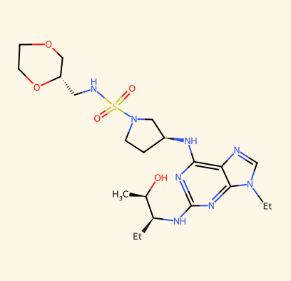 CC[C@H](Nc1nc(N[C@H]2CCN(S(=O)(=O)NC[C@H]3COCCO3)C2)c2ncn(CC)c2n1)[C@@H](C)O